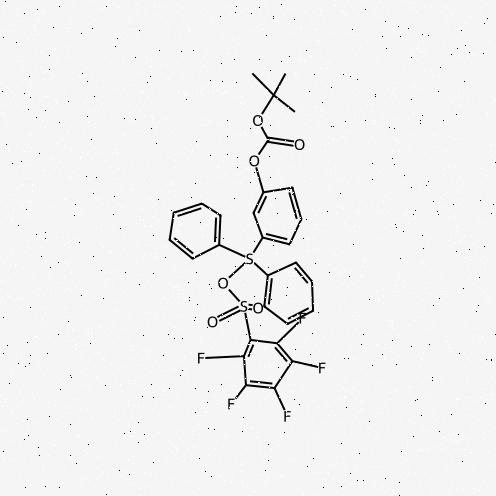 CC(C)(C)OC(=O)Oc1cccc(S(OS(=O)(=O)c2c(F)c(F)c(F)c(F)c2F)(c2ccccc2)c2ccccc2)c1